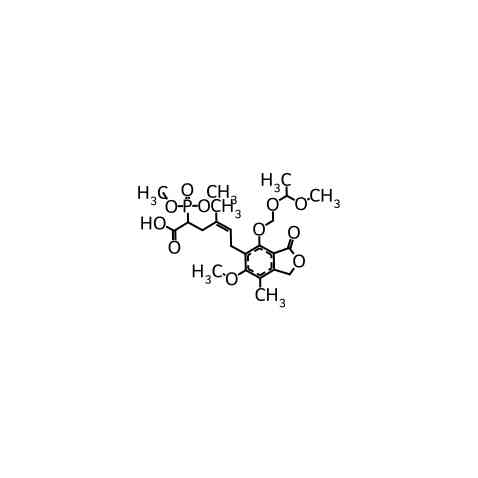 COc1c(C)c2c(c(OCOC(C)OC)c1CC=C(C)CC(C(=O)O)P(=O)(OC)OC)C(=O)OC2